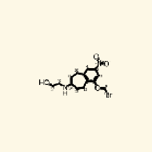 O=[N+]([O-])c1cc2c(c(OCBr)c1)CCC(NCCO)CC2